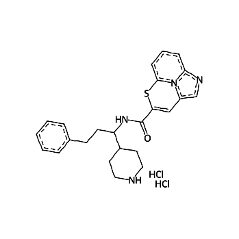 Cl.Cl.O=C(NC(CCc1ccccc1)C1CCNCC1)C1=Cc2cnc3cccc(n23)S1